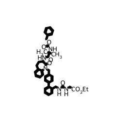 CCOC(=O)CNC(=O)NCc1ccccc1-c1ccc(CN2C(=O)[C@H](NC(=O)C(C)(C)NC(=O)OCc3ccccc3)CCc3ccccc32)cc1